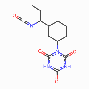 CCC(N=C=O)C1CCCC(n2c(=O)[nH]c(=O)[nH]c2=O)C1